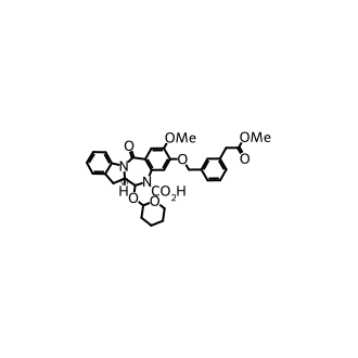 COC(=O)Cc1cccc(COc2cc3c(cc2OC)C(=O)N2c4ccccc4C[C@H]2C(OC2CCCCO2)N3C(=O)O)c1